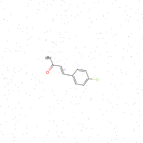 CC(C)(C)C(=O)/C=C/c1ccc(F)cc1